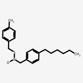 CCCCCCc1ccc(C[S+]([O-])SCc2ccc(C)cc2)cc1